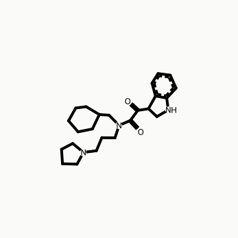 O=C(C(=O)N(CCCN1CCCC1)CC1CCCCC1)C1CNc2ccccc21